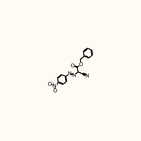 N#CC(N=Nc1ccc([N+](=O)[O-])cc1)C(=O)OCc1ccccc1